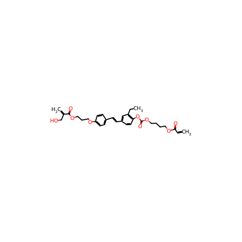 C=CC(=O)OCCCCOC(=O)Oc1ccc(/C=C/c2ccc(OCCCOC(=O)C(=C)CO)cc2)cc1CC